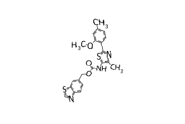 COc1cc(C)ccc1-c1nc(C)c(NC(=O)OCc2ccc3ncsc3c2)s1